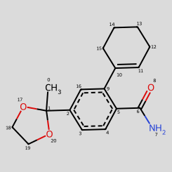 CC1(c2ccc(C(N)=O)c(C3=CCCCC3)c2)OCCO1